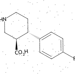 O=C(O)[C@H]1CNCC[C@@H]1c1ccc(F)cc1